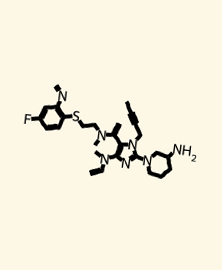 C=CN(C)c1nc(N2CCCC(N)C2)n(CC#CC)c1C(=C)N(C)CCSc1ccc(F)cc1N=C